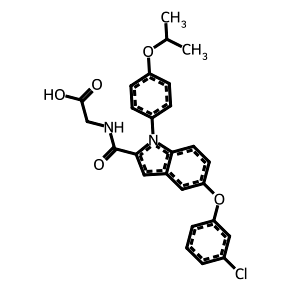 CC(C)Oc1ccc(-n2c(C(=O)NCC(=O)O)cc3cc(Oc4cccc(Cl)c4)ccc32)cc1